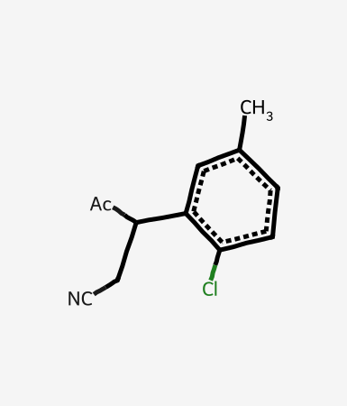 CC(=O)C(CC#N)c1cc(C)ccc1Cl